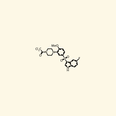 COc1ccc(S(=O)(=O)c2c[nH]c3ccc(F)cc23)cc1N1CCN(C(=O)C(Cl)(Cl)Cl)CC1